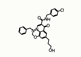 O=C(NCc1ccc(Cl)cc1)c1cn2c3c(cc(CCCO)cc3c1=O)OCN2Cc1ccccc1